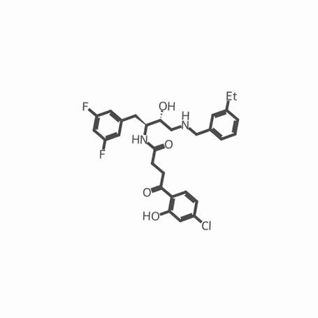 CCc1cccc(CNC[C@@H](O)[C@H](Cc2cc(F)cc(F)c2)NC(=O)CCC(=O)c2ccc(Cl)cc2O)c1